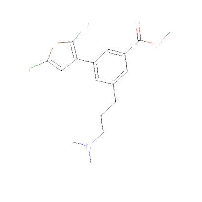 COC(=O)c1cc(CCCN(C)C)cc(-c2cc(Cl)sc2Cl)c1